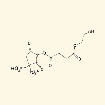 O=C(CCC(=O)ON1C(=O)CC(S(=O)(=O)O)(S(=O)(=O)O)C1=O)OCCO